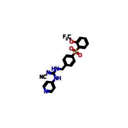 N#CN=C(NCc1ccc(S(=O)(=O)c2ccccc2OC(F)(F)F)cc1)Nc1ccncc1